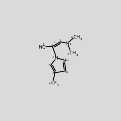 CN(C)/C=C(/C#N)n1cc(C(F)(F)F)cn1